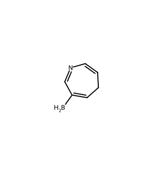 BC1=CCC=CN=C1